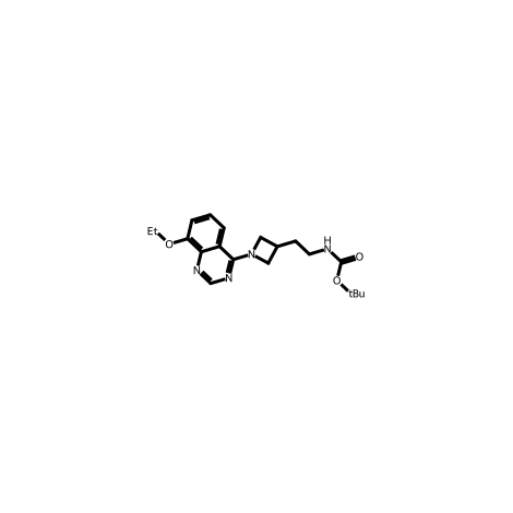 CCOc1cccc2c(N3CC(CCNC(=O)OC(C)(C)C)C3)ncnc12